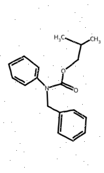 CC(C)COC(=O)N(Cc1ccccc1)c1ccccc1